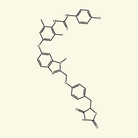 Cc1cc(Oc2ccc3nc(COc4ccc(CC5SC(=O)NC5=O)cc4)n(C)c3c2)cc(C)c1NC(=S)Nc1ccc(Cl)cc1